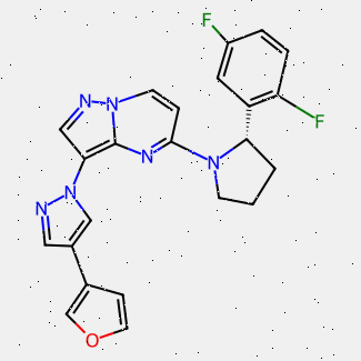 Fc1ccc(F)c([C@@H]2CCCN2c2ccn3ncc(-n4cc(-c5ccoc5)cn4)c3n2)c1